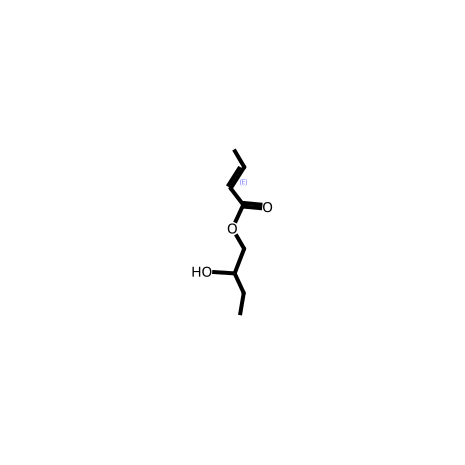 C/C=C/C(=O)OCC(O)CC